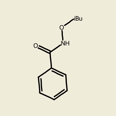 CCC(C)ONC(=O)c1ccccc1